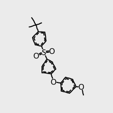 COc1ccc(Oc2ccc(S(=O)(=O)c3ccc(C(C)(C)C)cc3)cc2)cc1